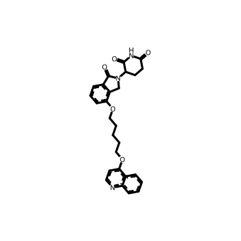 O=C1CCC(N2Cc3c(OCCCCCOc4ccnc5ccccc45)cccc3C2=O)C(=O)N1